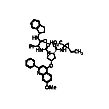 C=C[C@@H]1C[C@]1(NC(=O)[C@@H]1C[C@@H](Oc2cc(-c3ccccc3)nc3cc(OC)ccc23)CN1C(=O)NC(C(=O)N[C@@H]1CCc2ccccc21)C(C)C)C(=O)O